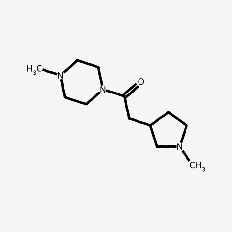 CN1CCN(C(=O)CC2CCN(C)C2)CC1